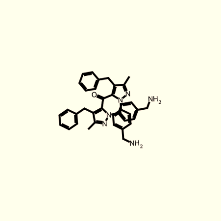 Cc1nn(-c2ccc(CN)cc2)c(C(=O)c2c(Cc3ccccc3)c(C)nn2-c2ccc(CN)cc2)c1Cc1ccccc1